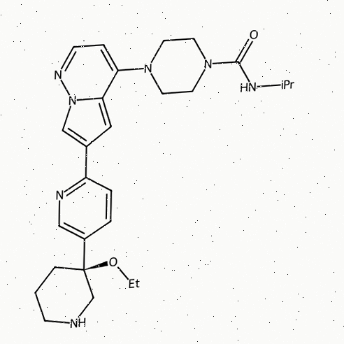 CCO[C@]1(c2ccc(-c3cc4c(N5CCN(C(=O)NC(C)C)CC5)ccnn4c3)nc2)CCCNC1